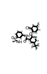 CS(=N)(=O)c1cccc(NC(=O)c2cc(C(F)(F)F)cnc2Oc2ccc(F)cc2Cl)c1